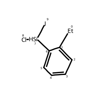 CCc1ccccc1[SiH](Cl)I